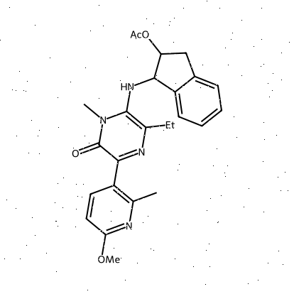 CCc1nc(-c2ccc(OC)nc2C)c(=O)n(C)c1NC1c2ccccc2CC1OC(C)=O